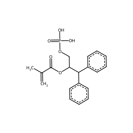 C=C(C)C(=O)OC(COP(=O)(O)O)C(c1ccccc1)c1ccccc1